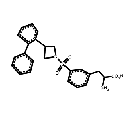 NC(Cc1cccc(S(=O)(=O)N2CC(c3ccccc3-c3ccccc3)C2)c1)C(=O)O